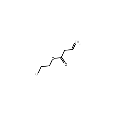 C=CCC(=O)OCCCl